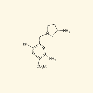 CCOC(=O)c1cc(Br)c(CN2CCC(N)C2)cc1N